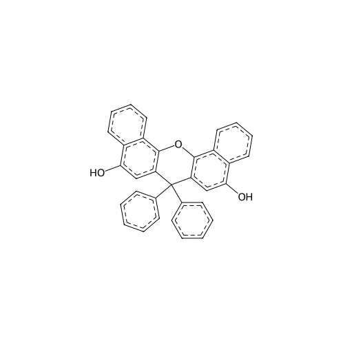 Oc1cc2c(c3ccccc13)Oc1c(cc(O)c3ccccc13)C2(c1ccccc1)c1ccccc1